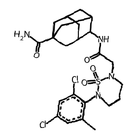 Cc1cc(Cl)cc(Cl)c1N1CCCN(CC(=O)NC2C3CC4CC2CC(C(N)=O)(C4)C3)S1(=O)=O